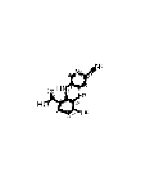 N#Cc1ccc(Nc2c(C(=O)O)ccc(F)c2F)cn1